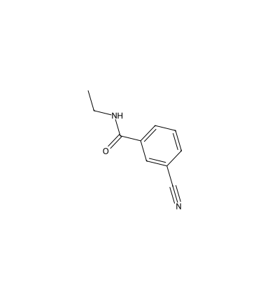 CCNC(=O)c1cccc(C#N)c1